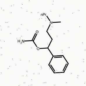 CCCN(C)CCC(OC(N)=O)c1ccccc1